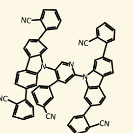 N#Cc1cccc(-c2cc(-n3c4cc(-c5ccccc5C#N)ccc4c4ccc(-c5ccccc5C#N)cc43)ncc2-n2c3cc(-c4ccccc4C#N)ccc3c3ccc(-c4ccccc4C#N)cc32)c1